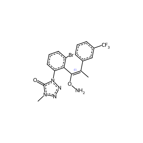 C/C(=C(\ON)c1c(Br)cccc1-n1nnn(C)c1=O)c1cccc(C(F)(F)F)c1